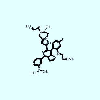 C=CC(=O)N1Cc2cc(-c3nc(-c4ccnc(N(C)C)c4)c4ccsc4c3-c3c(F)cc(F)cc3OCCOC)nn2C[C@H]1C